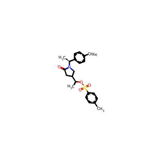 COc1ccc([C@H](C)N2CC(C(C)OS(=O)(=O)c3ccc(C)cc3)CC2=O)cc1